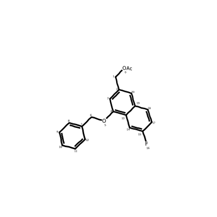 CC(=O)OCc1cc(OCc2ccccc2)c2cc(F)ccc2c1